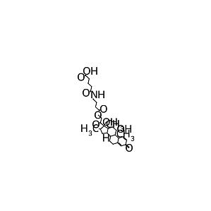 C[C@@H]1CC2[C@@H]3CCC4=CC(=O)C=C[C@]4(C)C3[C@@H](O)C[C@]2(C)[C@@]1(O)C(=O)COC(=O)CCCNC(=O)CCCC(=O)O